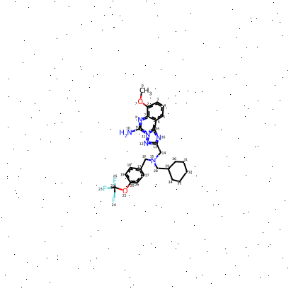 COc1cccc2c1nc(N)n1nc(CN(Cc3ccc(OC(F)(F)F)cc3)CC3CCCCC3)nc21